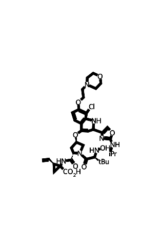 C=C[C@@H]1CC1(NC(=O)[C@@H]1C[C@@H](OC2=CC(c3coc(NC(C)C)n3)Nc3c2ccc(OCCN2CCOCC2)c3Cl)CN1C(=O)[C@@H](NO)C(C)(C)C)C(=O)O